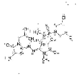 C=C(C)CN1C(=O)C(C)SC1=NN=C1SC(OP(=O)(N(C)C)N(CCCl)CCCl)C(=O)N1C